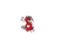 CC(=O)CC[C@H]1C(=O)N[C@@H](C(C)C)C(=O)N[C@@H](Cc2cc(O)cc(F)c2)C(=O)N2CCCC(N2)C(=O)O[C@H](/C(C)=C/C=C/CC[C@H](C)[C@@H](O)C[C@@H]2O[C@@](C)(NC(C)=O)[C@@H](C)[C@@H](O)[C@H]2C)C/C=C/C=C/[C@H](O)[C@H](C)[C@H]1O